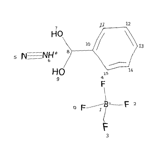 F[B-](F)(F)F.N#[NH+].OC(O)c1ccccc1